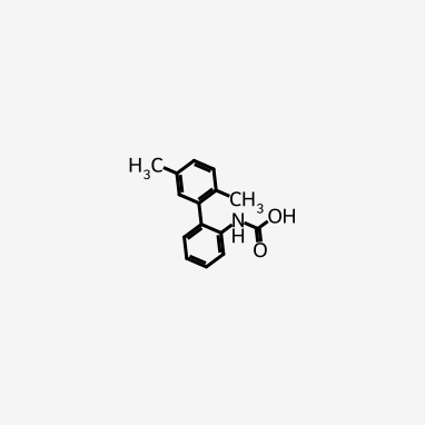 Cc1ccc(C)c(-c2ccccc2NC(=O)O)c1